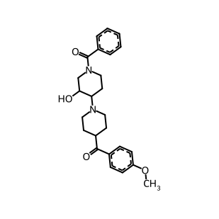 COc1ccc(C(=O)C2CCN(C3CCN(C(=O)c4ccccc4)CC3O)CC2)cc1